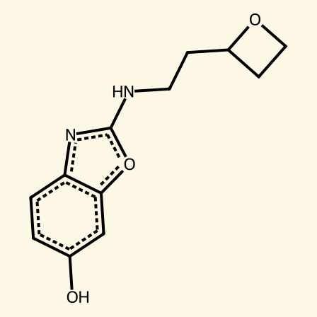 Oc1ccc2nc(NCCC3CCO3)oc2c1